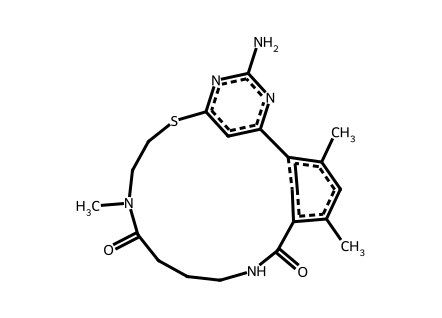 Cc1cc(C)c2cc1C(=O)NCCCC(=O)N(C)CCSc1cc-2nc(N)n1